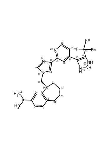 CC(C)c1ccc2c(c1)[C@@H](Cn1cnc(-c3cc(C4=C(C(F)(F)F)NNN4)ccn3)c1)CCCC2